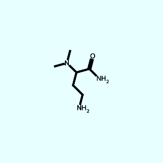 CN(C)C(CCN)C(N)=O